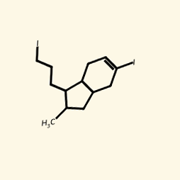 CC1CC2CC(I)=CCC2C1CCCI